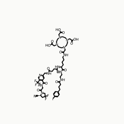 N#C[C@@H]1CC(F)(F)CN1C(=O)CNC(=O)c1cc(CNC(=O)CCC(=O)NC(CCCCNC(=O)CN2CCN(CC(=O)O)CCN(CC(=O)O)CCN(CC(=O)O)CC2)C(=O)NCCNC(=O)CCCc2ccc(I)cc2)ncc1C(F)(F)F